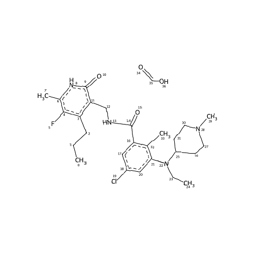 CCCc1c(F)c(C)[nH]c(=O)c1CNC(=O)c1cc(Cl)cc(N(CC)C2CCN(C)CC2)c1C.O=CO